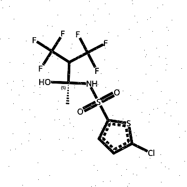 C[C@@](O)(NS(=O)(=O)c1ccc(Cl)s1)C(C(F)(F)F)C(F)(F)F